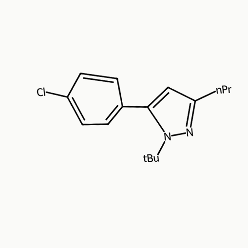 [CH2]CCc1cc(-c2ccc(Cl)cc2)n(C(C)(C)C)n1